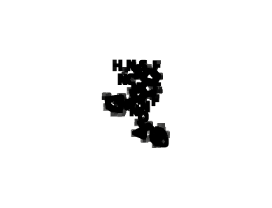 N#CC1=C(N)SC2C(F)=CC=C(c3ncc4c(N5CC6CCC(C5)N6)nc(OCC5(CN6C7COCC6C7)CC5)nc4c3C(F)F)C12